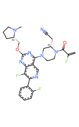 C=C(F)C(=O)N1CCN(c2nc(OC[C@@H]3CCCN3C)nc3c(F)c(-c4ccccc4F)ncc23)C[C@@H]1CC#N